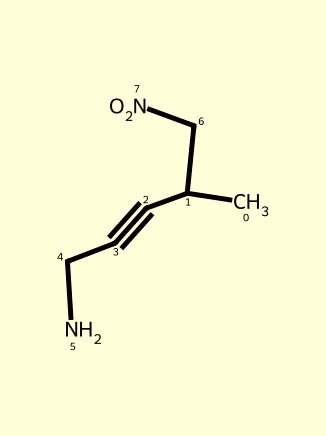 CC(C#CCN)C[N+](=O)[O-]